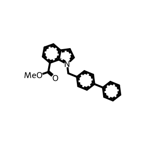 COC(=O)c1cccc2ccn(Cc3ccc(-c4ccccc4)cc3)c12